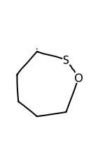 [CH]1CCCCOS1